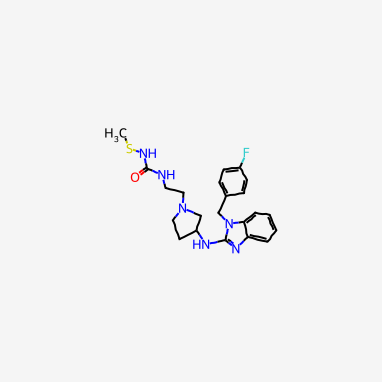 CSNC(=O)NCCN1CCC(Nc2nc3ccccc3n2Cc2ccc(F)cc2)C1